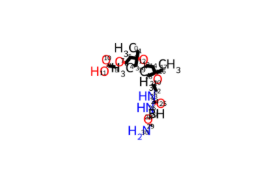 CCC(CC)(CCOCC(=O)O)OCCC(CC)(CC)OCCNC(=O)NBOCN